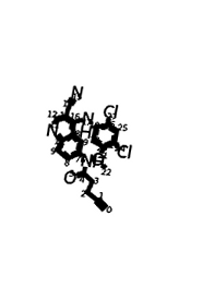 C#CCCC(=O)Nc1ccc2ncc(C#N)c(Nc3cc(OC)c(Cl)cc3Cl)c2c1